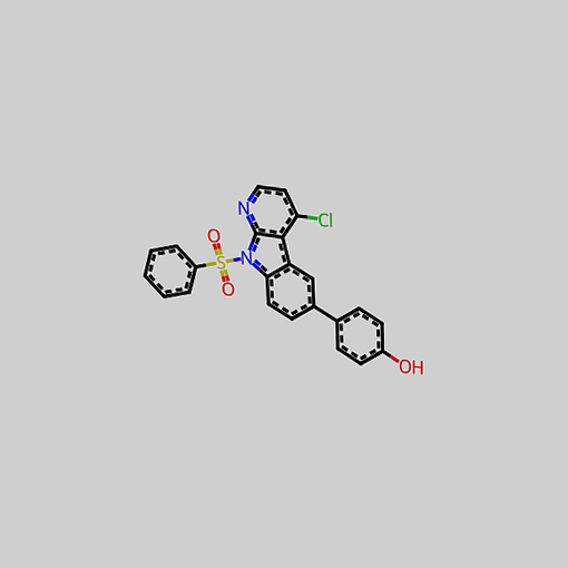 O=S(=O)(c1ccccc1)n1c2ccc(-c3ccc(O)cc3)cc2c2c(Cl)ccnc21